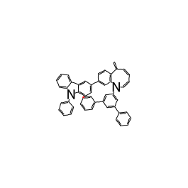 C=C1/C=C\C=C/N(c2cc(-c3ccccc3)cc(-c3ccccc3)c2)c2cc(-c3ccc4c(c3)c3ccccc3n4-c3ccccc3)ccc21